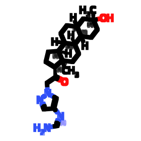 C[C@@]1(O)CC[C@H]2[C@H](CC[C@@H]3[C@@H]2CC[C@]2(C)[C@@H](C(=O)Cn4cc(/N=C\N)cn4)CC[C@@H]32)C1